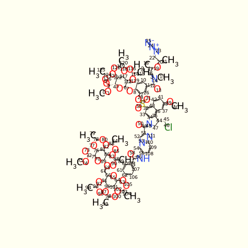 COC(=O)[C@H]1O[C@@H](Oc2ccc(C(=O)N(C)CC(C)OC(C)CN=[N+]=[N-])cc2OS(=O)(=O)c2cc3c(c4cc(OC)ccc24)[C@H](CCl)CN3C(=O)c2cn3cc(NC(=O)c4ccc(OC5O[C@H](CO[C@@H]6O[C@H](C(=O)OC)[C@@H](OC(C)=O)[C@H](OC(C)=O)[C@H]6OC(C)=O)[C@H](OC(C)=O)[C@H](OC(C)=O)[C@H]5OC(C)=O)cc4)ccc3n2)C(OC(C)=O)[C@@H](OC(C)=O)[C@@H]1OC(C)=O